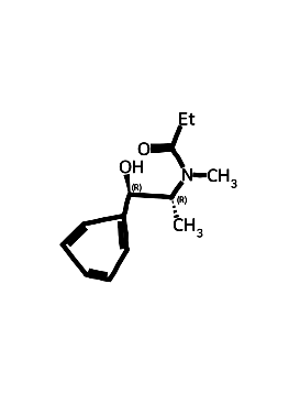 CCC(=O)N(C)[C@H](C)[C@H](O)c1ccccc1